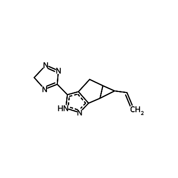 C=CC1C2Cc3c(n[nH]c3C3=NCN=N3)C12